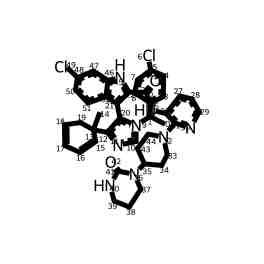 CC(c1ccc(Cl)cc1)n1cnc(C2(C)C=CC=CC2)c1-c1c(C(=O)Nc2cccnc2N2CCC(N3CCCNC3=O)CC2)[nH]c2cc(Cl)ccc12